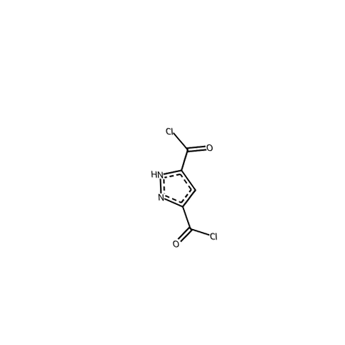 O=C(Cl)c1cc(C(=O)Cl)[nH]n1